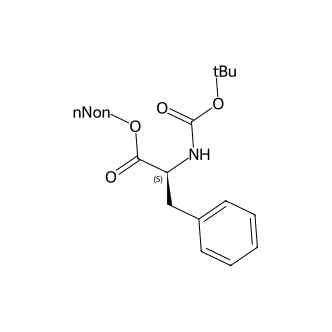 CCCCCCCCCOC(=O)[C@H](Cc1ccccc1)NC(=O)OC(C)(C)C